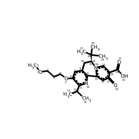 COCCCOc1cc2c(nc1C(C)C)-c1cc(=O)c(C(=O)O)cn1[C@H](C(C)(C)C)C2